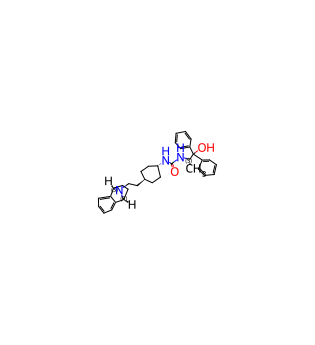 C[C@H](NC(=O)N[C@H]1CC[C@H](CCN2[C@@H]3CC[C@H]2c2ccccc23)CC1)C(O)(c1ccccc1)c1ccccc1